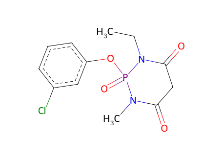 CCN1C(=O)CC(=O)N(C)P1(=O)Oc1cccc(Cl)c1